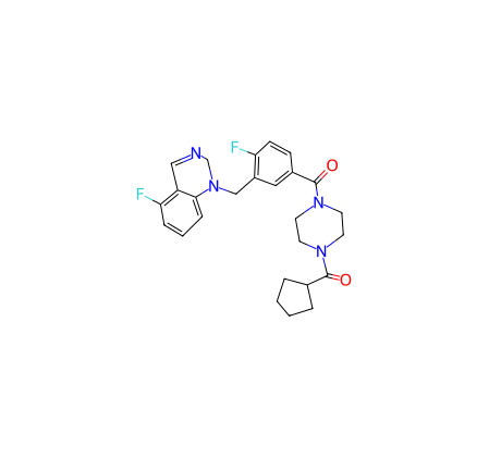 O=C(c1ccc(F)c(CN2CN=Cc3c(F)cccc32)c1)N1CCN(C(=O)C2CCCC2)CC1